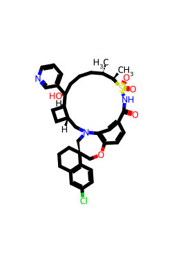 C[C@@H]1[C@@H](C)CCC[C@](O)(c2cccnc2)[C@@H]2CC[C@H]2CN2C[C@@]3(CCCc4cc(Cl)ccc43)COc3ccc(cc32)C(=O)NS1(=O)=O